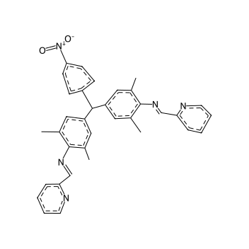 Cc1cc(C(c2ccc([N+](=O)[O-])cc2)c2cc(C)c(N=Cc3ccccn3)c(C)c2)cc(C)c1N=Cc1ccccn1